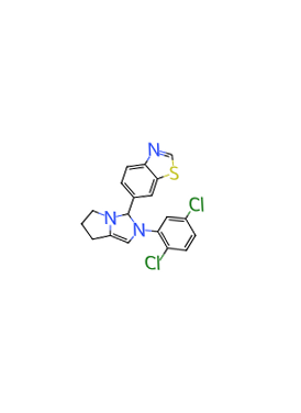 Clc1ccc(Cl)c(N2C=C3CCCN3C2c2ccc3ncsc3c2)c1